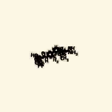 CSc1sc(C(=N)N)cc1S(=O)(=O)c1cccc(-c2ccc(NC(=O)CCP(=O)(O)OC(=O)C(F)(F)F)cc2C)c1